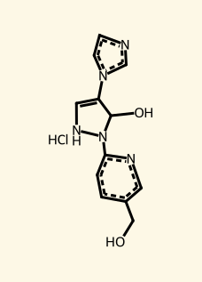 Cl.OCc1ccc(N2NC=C(n3ccnc3)C2O)nc1